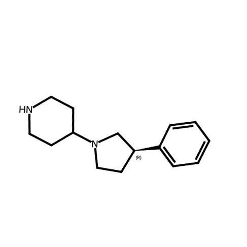 c1ccc([C@H]2CCN(C3CCNCC3)C2)cc1